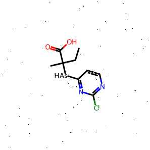 CCC(C)([AsH]c1ccnc(Cl)n1)C(=O)O